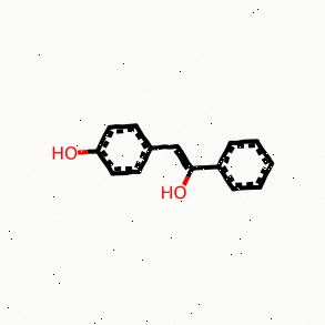 OC(=Cc1ccc(O)cc1)c1ccccc1